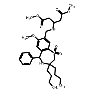 CCCCC1(CCCC)CS(=O)(=O)c2cc(CNC(CC(=O)OC)CC(=O)OC)c(OC)cc2C(c2ccccc2)N1